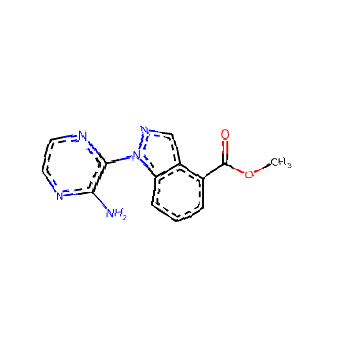 COC(=O)c1cccc2c1cnn2-c1nccnc1N